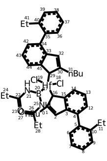 CCCCC1=Cc2c(-c3ccccc3CC)cccc2[CH]1[Hf]([Cl])([Cl])([B](NC(=O)CC)NC(=O)CC)[CH]1C(CCCC)=Cc2c(-c3ccccc3CC)cccc21